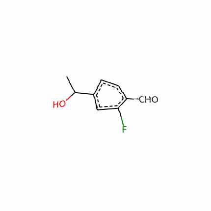 CC(O)c1ccc(C=O)c(F)c1